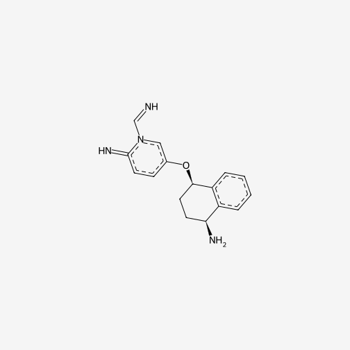 N=Cn1cc(O[C@@H]2CC[C@H](N)c3ccccc32)ccc1=N